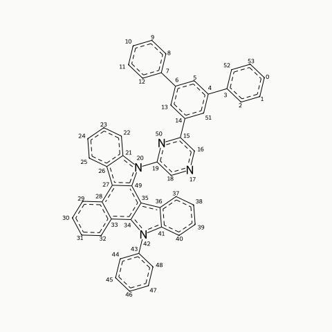 c1ccc(-c2cc(-c3ccccc3)cc(-c3cncc(-n4c5ccccc5c5c6ccccc6c6c(c7ccccc7n6-c6ccccc6)c54)n3)c2)cc1